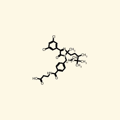 CC[C@H](c1ccc(C(=O)NCCC(=O)O)cc1)N1C(=O)C(c2cc(Cl)cc(Cl)c2)=NC1(C)CCC(C)C(C)(C)C